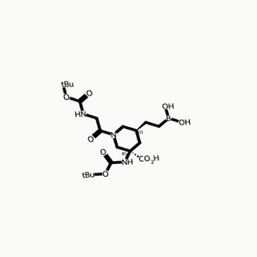 CC(C)(C)OC(=O)NCC(=O)N1C[C@@H](CCB(O)O)C[C@](NC(=O)OC(C)(C)C)(C(=O)O)C1